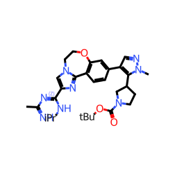 CC(=N)/N=C(\NC(C)C)c1cn2c(n1)-c1ccc(-c3cnn(C)c3C3CCN(C(=O)OC(C)(C)C)C3)cc1OCC2